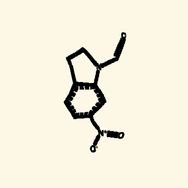 O=CN1CCc2ccc([N+](=O)[O-])cc21